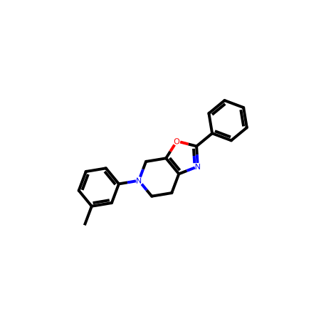 Cc1cccc(N2CCc3nc(-c4ccccc4)oc3C2)c1